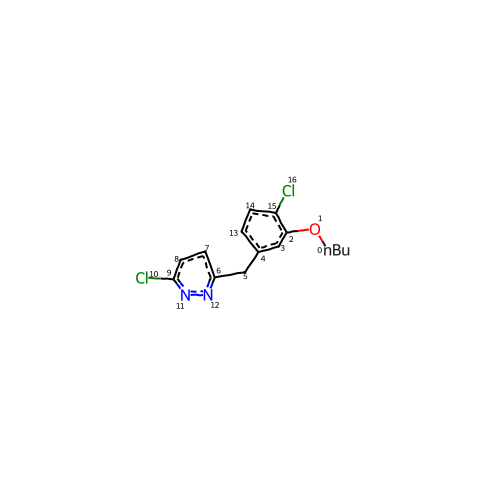 CCCCOc1cc(Cc2ccc(Cl)nn2)ccc1Cl